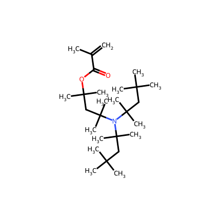 C=C(C)C(=O)OC(C)(C)CC(C)(C)N(C(C)(C)CC(C)(C)C)C(C)(C)CC(C)(C)C